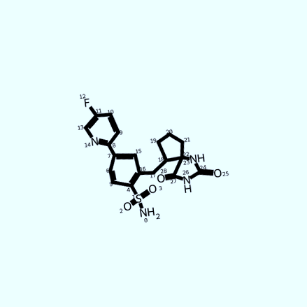 NS(=O)(=O)c1ccc(-c2ccc(F)cn2)cc1CC1CCCC12NC(=O)NC2=O